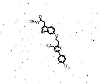 Cc1nc(-c2ccc(C(F)(F)F)cc2)sc1CCOc1ccc2c(CC(=O)OC(C)(C)C)c[nH]c2c1